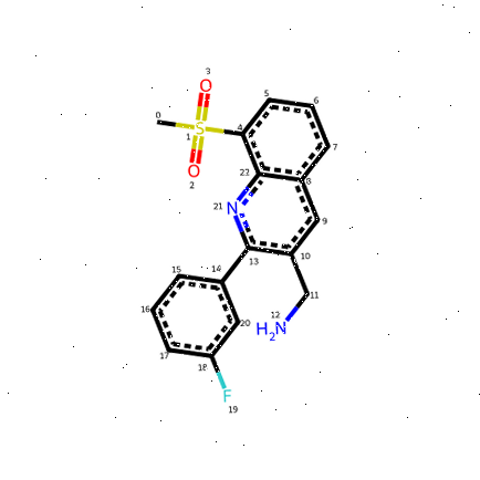 CS(=O)(=O)c1cccc2cc(CN)c(-c3cccc(F)c3)nc12